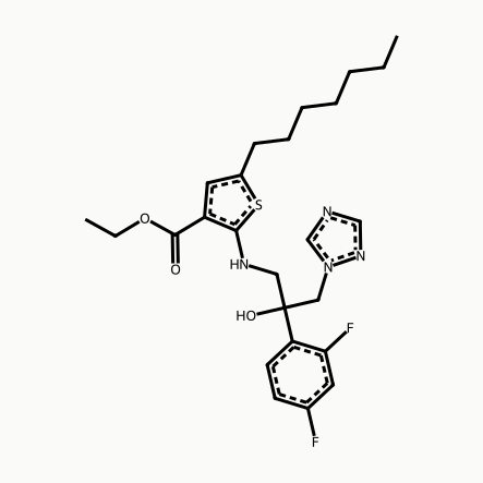 CCCCCCCc1cc(C(=O)OCC)c(NCC(O)(Cn2cncn2)c2ccc(F)cc2F)s1